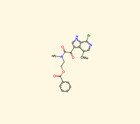 CCCN(CCOC(=O)c1ccccc1)C(=O)C(=O)c1c[nH]c2c(Br)ncc(OC)c12